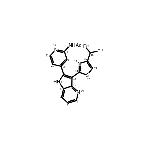 CC(=O)Nc1cc(-c2[nH]c3cccnc3c2-c2nc(C(F)F)cs2)ccn1